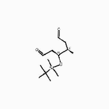 C[C@H](CC=O)[C@H](CC=O)O[Si](C)(C)C(C)(C)C